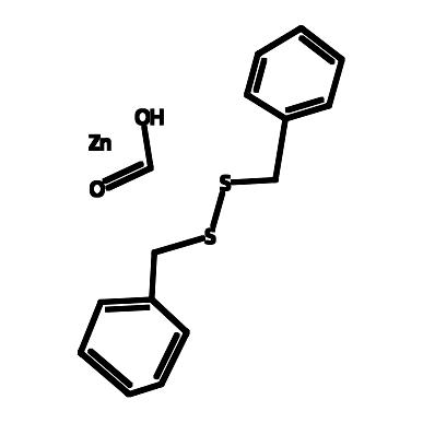 O=CO.[Zn].c1ccc(CSSCc2ccccc2)cc1